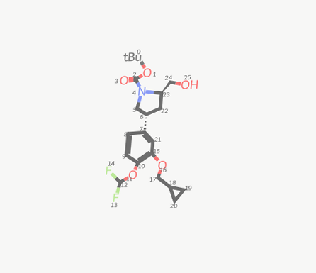 CC(C)(C)OC(=O)N1C[C@@H](c2ccc(OC(F)F)c(OCC3CC3)c2)C[C@@H]1CO